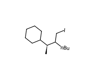 CCCCC(CI)[C@@H](C)C1CCCCC1